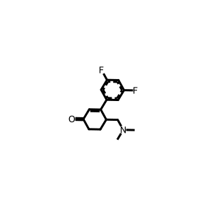 CN(C)CC1CCC(=O)C=C1c1cc(F)cc(F)c1